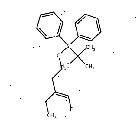 CCC(=CF)CCO[Si](c1ccccc1)(c1ccccc1)C(C)(C)C